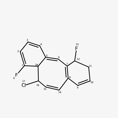 FC1=CC=C/C2=C/C3=C(C=CCC3F)/C=C\C(Cl)C12